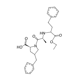 CCOC(=O)C(CCc1ccccc1)N[C@@H](C)C(=O)N1CC(Cc2ccccc2)C[C@H]1C(=O)O